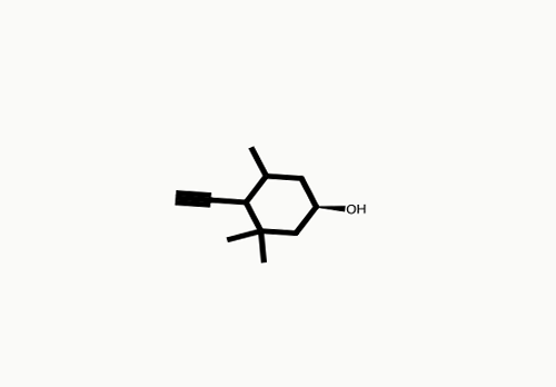 C#CC1C(C)C[C@@H](O)CC1(C)C